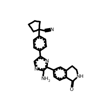 N#CC1(c2ccc(-c3cnc(N)c(-c4ccc5c(c4)CCNC5=O)n3)cc2)CCCC1